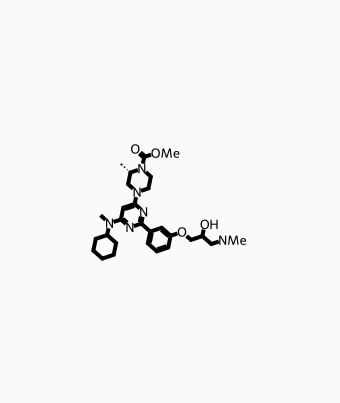 CNCC(O)COc1cccc(-c2nc(N3CCN(C(=O)OC)[C@@H](C)C3)cc(N(C)C3CCCCC3)n2)c1